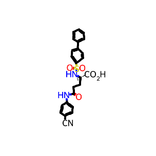 N#Cc1ccc(NC(=O)CC[C@H](NS(=O)(=O)c2ccc(-c3ccccc3)cc2)C(=O)O)cc1